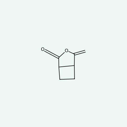 C=C1OC(=O)C2CCC12